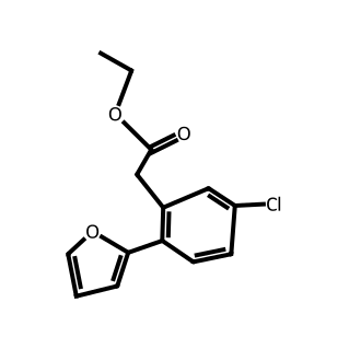 CCOC(=O)Cc1cc(Cl)ccc1-c1ccco1